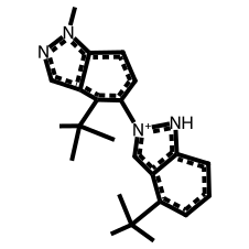 Cn1ncc2c(C(C)(C)C)c(-[n+]3cc4c(C(C)(C)C)cccc4[nH]3)ccc21